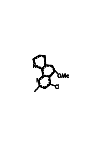 COc1cc2cccnc2c2nc(C)cc(Cl)c12